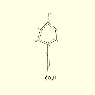 Cc1ccc(C#CC(=O)O)cc1